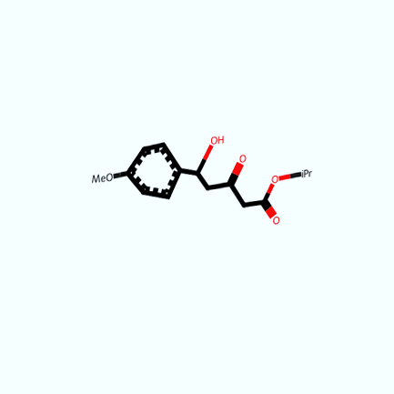 COc1ccc(C(O)CC(=O)CC(=O)OC(C)C)cc1